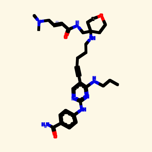 CCCNc1nc(Nc2ccc(C(N)=O)cc2)ncc1C#CCCCNC1(CNC(=O)/C=C/CN(C)C)CCOCC1